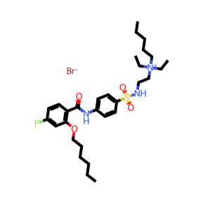 CCCCCCOc1cc(F)ccc1C(=O)Nc1ccc(S(=O)(=O)NCC[N+](CC)(CC)CCCCC)cc1.[Br-]